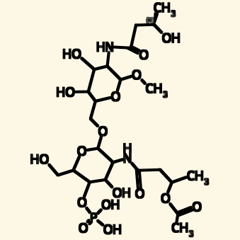 COC1OC(COC2OC(CO)C(OP(=O)(O)O)C(O)C2NC(=O)CC(C)OC(C)=O)C(O)C(O)C1NC(=O)C[C@@H](C)O